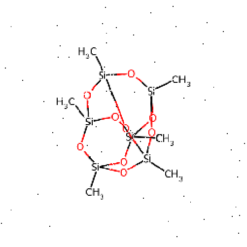 C[Si]12O[Si]3(C)O[Si](C)(O1)O[Si]1(C)O[Si](C)(O[Si](C)(O1)O3)O2